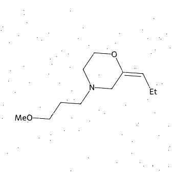 CC/C=C1\CN(CCCOC)CCO1